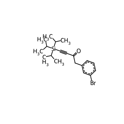 CC(C)[Si](C#CC(=O)Cc1cccc(Br)c1)(C(C)C)C(C)C